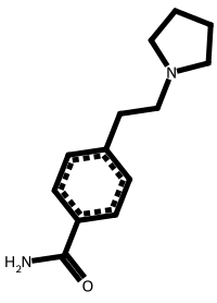 NC(=O)c1ccc(CCN2CCCC2)cc1